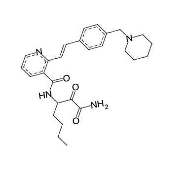 CCCCC(NC(=O)c1cccnc1/C=C/c1ccc(CN2CCCCC2)cc1)C(=O)C(N)=O